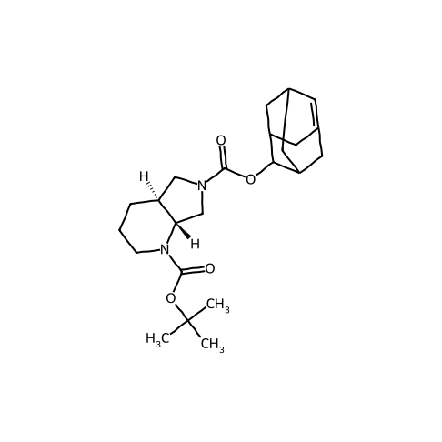 CC(C)(C)OC(=O)N1CCC[C@H]2CN(C(=O)OC3C4CC5=CC(C4)CC3C5)C[C@@H]21